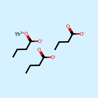 CCCC(=O)[O-].CCCC(=O)[O-].CCCC(=O)[O-].[Yb+3]